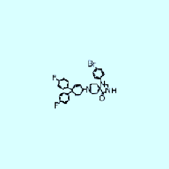 O=C1NCN(c2ccc(Br)cc2)C12CCN(C1C=CC(c3ccc(F)cc3)(c3ccc(F)cc3)CC1)CC2